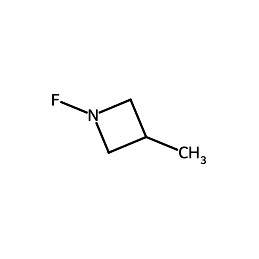 CC1CN(F)C1